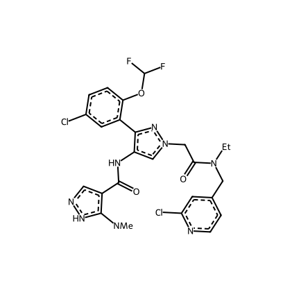 CCN(Cc1ccnc(Cl)c1)C(=O)Cn1cc(NC(=O)c2cn[nH]c2NC)c(-c2cc(Cl)ccc2OC(F)F)n1